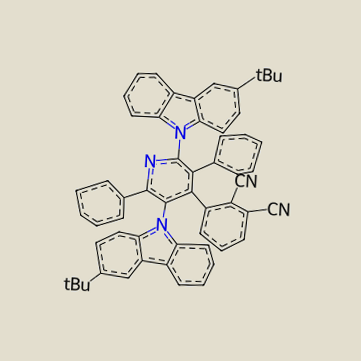 CC(C)(C)c1ccc2c(c1)c1ccccc1n2-c1nc(-c2ccccc2)c(-n2c3ccccc3c3cc(C(C)(C)C)ccc32)c(-c2cccc(C#N)c2C#N)c1-c1ccccc1